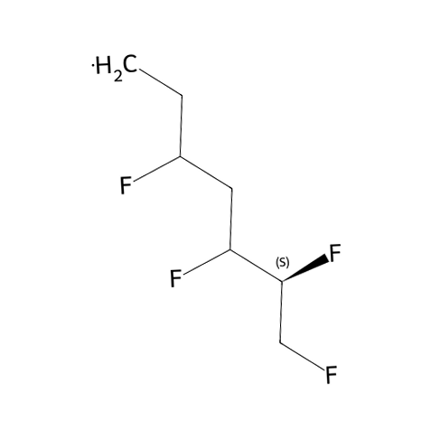 [CH2]CC(F)CC(F)[C@@H](F)CF